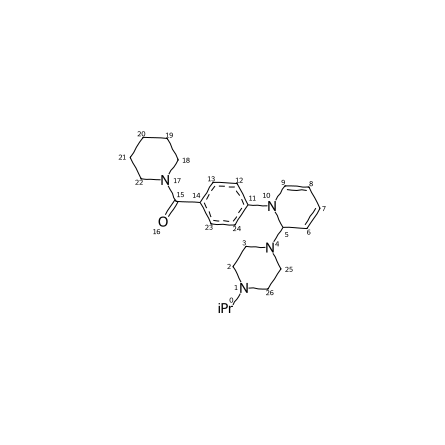 CC(C)N1CCN(C2C=CC=CN2c2ccc(C(=O)N3CCCCC3)cc2)CC1